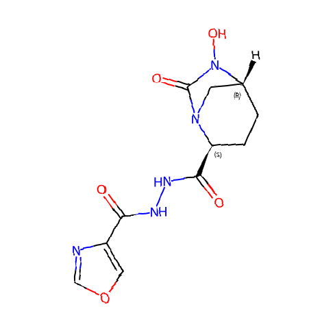 O=C(NNC(=O)[C@@H]1CC[C@@H]2CN1C(=O)N2O)c1cocn1